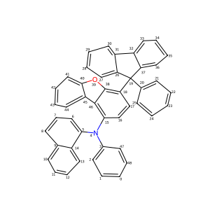 c1ccc(N(c2cccc3ccccc23)c2ccc(C3(c4ccccc4)c4ccccc4-c4ccccc43)c3oc4ccccc4c23)cc1